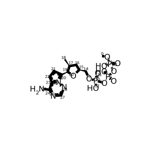 COP(=O)(O)OP(=O)(O)OP(=O)(O)OC[C@@H]1C[C@H](C)[C@H](c2ccc3c(N)ncnn23)O1